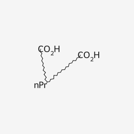 CCCC(CCCCCCCCCCCCCCCCCC(=O)O)CCCCCCCCCCCCCC(=O)O